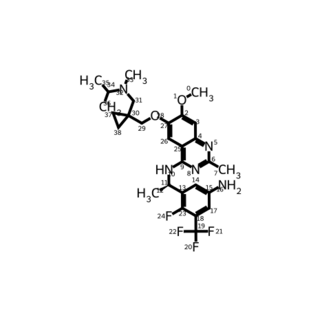 COc1cc2nc(C)nc(N[C@H](C)c3cc(N)cc(C(F)(F)F)c3F)c2cc1OCC1(CN(C)C(C)C)CC1